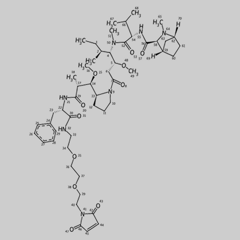 CC[C@H](C)[C@@H]([C@@H](CC(=O)N1CCC[C@H]1[C@H](OC)[C@@H](C)C(=O)N[C@@H](Cc1ccccc1)C(=O)NCCOCCOCCN1C(=O)C=CC1=O)OC)N(C)C(=O)[C@@H](NC(=O)[C@@H]1[C@H]2CC[C@H](C2)N1C)C(C)C